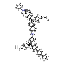 C=C(/C=C\C(=C/C)c1ccccc1)c1ccc(N(c2ccc(C)cc2)c2ccc3cc(/C=C/c4ccc(N(c5ccc(C)cc5)c5ccc(-c6ccc(-c7ccccc7)cc6)cc5)cc4)ccc3c2)cc1